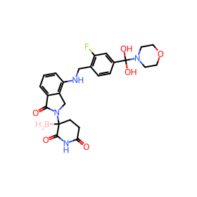 BC1(N2Cc3c(NCc4ccc(C(O)(O)N5CCOCC5)cc4F)cccc3C2=O)CCC(=O)NC1=O